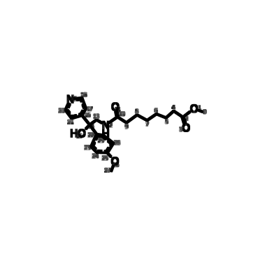 COC(=O)CCCCCCC(=O)NCC(O)(c1ccncc1)c1ccc(OC)cc1